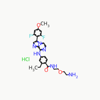 CCc1cc(Nc2nccn3c(-c4c(F)cc(OC)cc4F)cnc23)ccc1C(=O)NCCOCCN.Cl